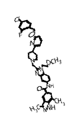 COCCn1c(CN2CCC(c3cccc(OCc4ccc(Cl)cc4F)n3)CC2)nc2cc(NC(=O)c3cc(C)c4[nH]nc(C)c4c3)ccc21